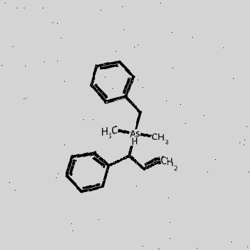 C=CC(c1ccccc1)[AsH](C)(C)Cc1ccccc1